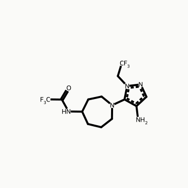 Nc1cnn(CC(F)(F)F)c1N1CCCC(NC(=O)C(F)(F)F)CC1